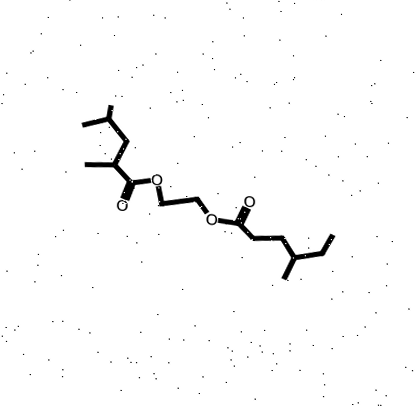 CCC(C)CCC(=O)OCCOC(=O)C(C)CC(C)C